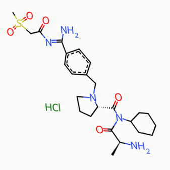 C[C@H](N)C(=O)N(C(=O)[C@@H]1CCCN1Cc1ccc(C(N)=NC(=O)CS(C)(=O)=O)cc1)C1CCCCC1.Cl